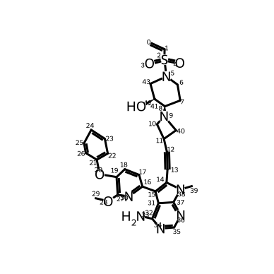 C=CS(=O)(=O)N1CC[C@@H](N2CC(C#Cc3c(-c4ccc(Oc5ccccc5)c(OC)n4)c4c(N)ncnc4n3C)C2)[C@@H](O)C1